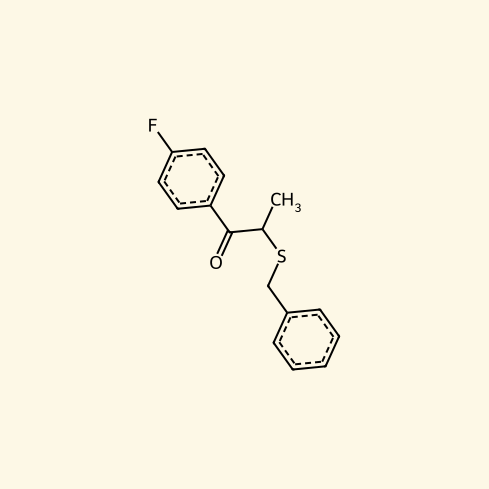 CC(SCc1ccccc1)C(=O)c1ccc(F)cc1